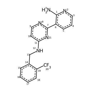 Nc1ncccc1-c1nccc(NCc2ccccc2C(F)(F)F)n1